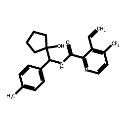 C=Cc1c(C(F)(F)F)ccnc1C(=O)NC(c1ccc(C)cc1)C1(O)CCCC1